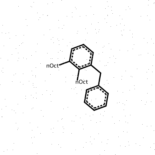 CCCCCCCCc1cccc(Cc2ccccc2)c1CCCCCCCC